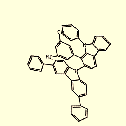 N#Cc1cc(C#N)cc(-c2c(-n3c4ccc(-c5ccccc5)cc4c4cc(-c5ccccc5)ccc43)ccc3c4ccccc4n(-c4ccccc4)c23)c1